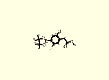 COC(=O)Cc1cc(F)c(B2OC(C)(C)C(C)(C)O2)cc1Cl